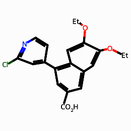 CCOc1cc2cc(C(=O)O)cc(-c3ccnc(Cl)c3)c2cc1OCC